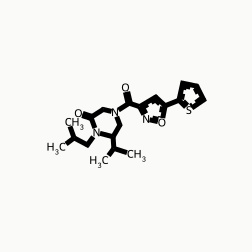 CC(C)CN1C(=O)CN(C(=O)c2cc(-c3cccs3)on2)CC1C(C)C